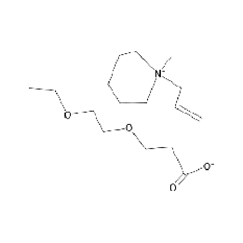 C=CC[N+]1(C)CCCCC1.CCOCCOCCC(=O)[O-]